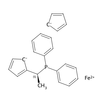 C[C@@H](c1ccc[cH-]1)P(c1ccccc1)c1ccccc1.[Fe+2].c1cc[cH-]c1